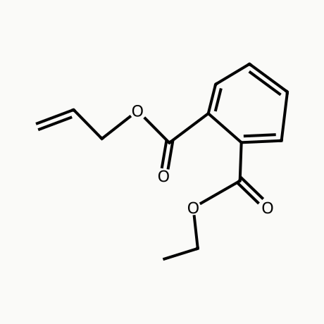 C=CCOC(=O)c1ccccc1C(=O)OCC